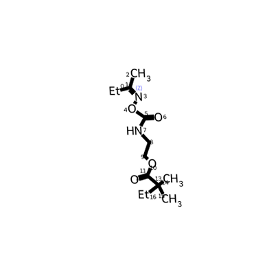 CC/C(C)=N\OC(=O)NCCOC(=O)C(C)(C)CC